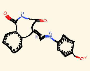 O=C1NC(=O)c2ccccc2/C1=C/Nc1ccc(O)cc1